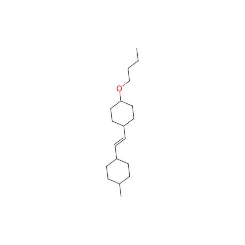 CCCCOC1CCC(C=CC2CCC(C)CC2)CC1